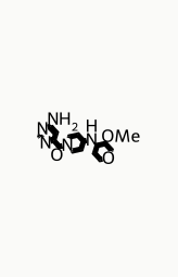 CO[C@H]1COCC[C@H]1NC1CCN(C(=O)c2cc(N)ncn2)CC1